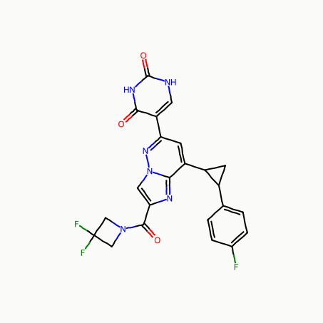 O=C(c1cn2nc(-c3c[nH]c(=O)[nH]c3=O)cc(C3CC3c3ccc(F)cc3)c2n1)N1CC(F)(F)C1